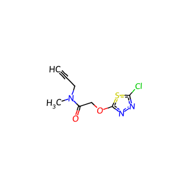 C#CCN(C)C(=O)COc1nnc(Cl)s1